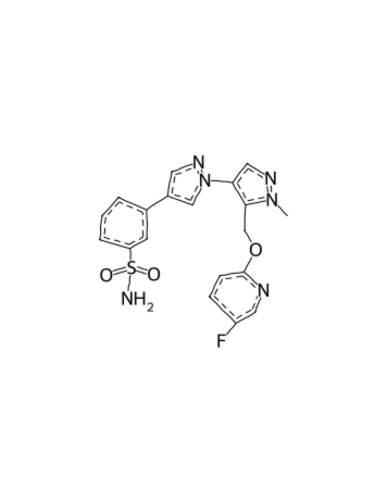 Cn1ncc(-n2cc(-c3cccc(S(N)(=O)=O)c3)cn2)c1COc1ccc(F)cn1